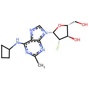 Cc1nc(NC2CCC2)c2ncn([C@@H]3O[C@H](CO)[C@@H](O)[C@@H]3F)c2n1